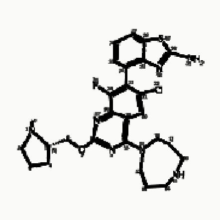 CN1CCC[C@H]1COc1nc(N2CCCNCCC2)c2cc(Cl)c(-c3cccc4sc(N)nc34)c(F)c2n1